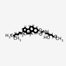 COCCC(O)CCNC(=O)O[C@@H]1CC[C@]2(C)C(=CCC3C2CC[C@]2(C)C3CC[C@H]2CCCCC(C)C)C1